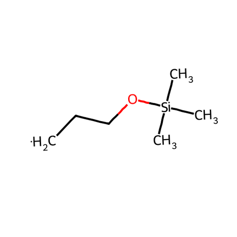 [CH2]CCO[Si](C)(C)C